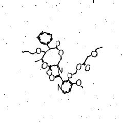 CCCOC1[C@H](C)OC(=O)/C(=N\C(=O)c2nccc(OC)c2OCOC(=O)COCC)COC(=O)[C@@H]1c1ccccc1